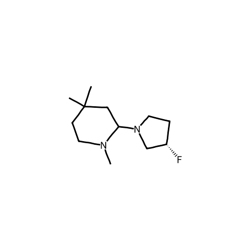 CN1CCC(C)(C)CC1N1CC[C@H](F)C1